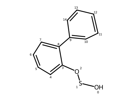 OSOc1ccccc1-c1ccccc1